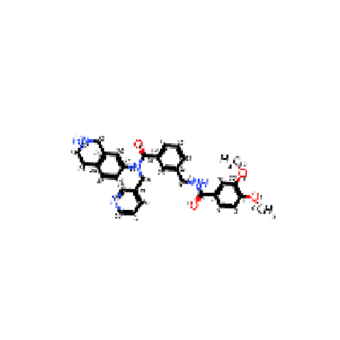 COc1ccc(C(=O)NCc2cccc(C(=O)N(Cc3cccnc3)c3ccc4c(c3)CNCC4)c2)cc1OC